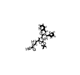 CC(C)(C)OC(=O)N[C@@H](CCCCNC(=O)O)C(=O)N(Cc1cccnc1)Cc1cccs1